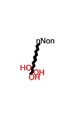 CCCCCCCCCCCCCCC=CCCC(O)C(O)CO